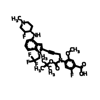 COc1cc(C(=O)O)c(F)cc1N(CC#Cc1cc2c(N[C@@H]3CCN(C)C[C@@H]3F)cccc2n1CC(F)(F)F)C(=O)OC(C)(C)C